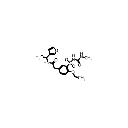 CCOc1ccc(CC(=O)NC(C)c2ccoc2)cc1S(=O)(=O)NC(=O)NC